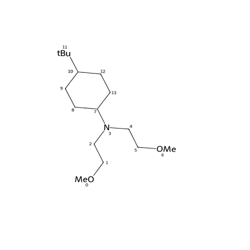 COCCN(CCOC)C1CCC(C(C)(C)C)CC1